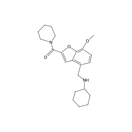 COc1ccc(CNC2CCCCC2)c2cc(C(=O)N3CCCCC3)oc12